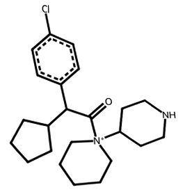 O=C(C(c1ccc(Cl)cc1)C1CCCC1)[N+]1(C2CCNCC2)CCCCC1